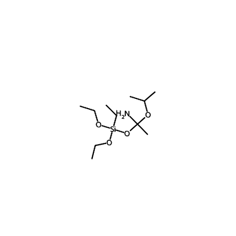 CCO[Si](CC)(OCC)OC(C)(N)OC(C)C